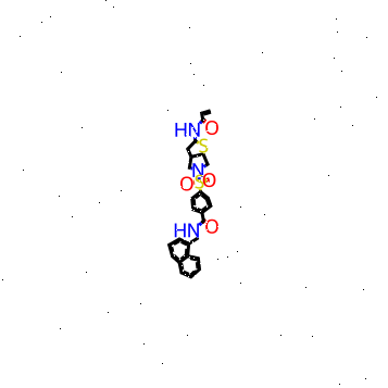 C=CC(=O)NC1CC2CN(S(=O)(=O)c3ccc(C(=O)NCc4cccc5ccccc45)cc3)CC2S1